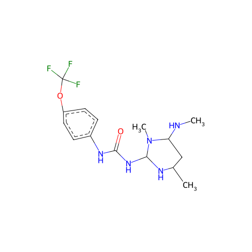 CNC1CC(C)NC(NC(=O)Nc2ccc(OC(F)(F)F)cc2)N1C